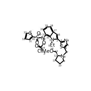 CCn1c(-c2ncc(CN3CCC[C@H]3COC)s2)cc2cccc(N(OC(=O)C(F)(F)F)S(=O)(=O)c3cccs3)c21